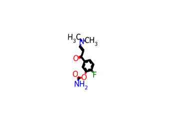 CN(C)C=CC(=O)c1ccc(F)c(OC(N)=O)c1